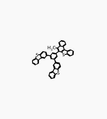 Cc1c(-c2cc(-c3ccc4sc5ccccc5c4c3)cc(-c3ccc4sc5ccccc5c4c3)c2)c2sc3ccccc3c2c2ccccc12